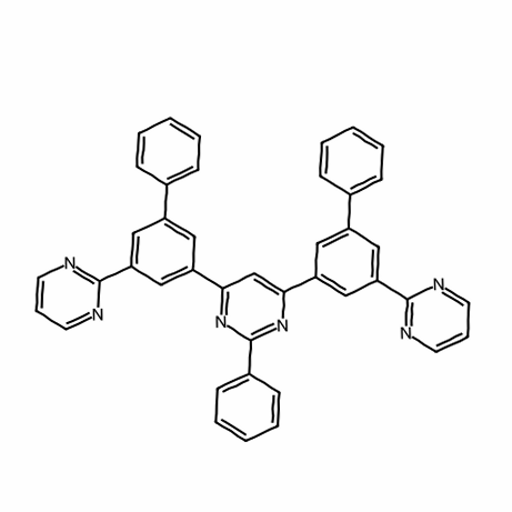 c1ccc(-c2cc(-c3cc(-c4cc(-c5ccccc5)cc(-c5ncccn5)c4)nc(-c4ccccc4)n3)cc(-c3ncccn3)c2)cc1